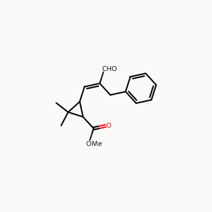 COC(=O)C1C(/C=C(/C=O)Cc2ccccc2)C1(C)C